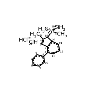 CC1=Cc2c(-c3ccccc3)cccc2[CH]1[Zr]([CH3])([CH3])=[SiH2].Cl.Cl